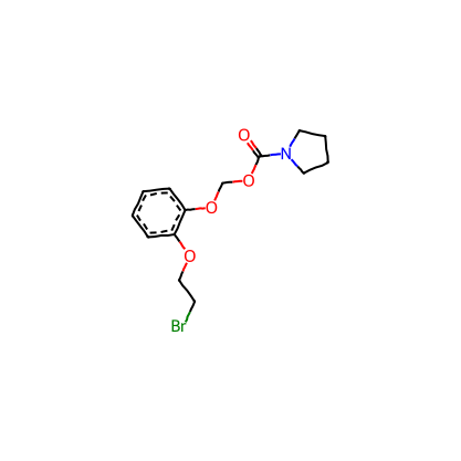 O=C(OCOc1ccccc1OCCBr)N1CCCC1